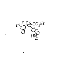 CCOC(=O)C1SC(c2cc(Cl)cc(Cl)c2)(C(F)(F)F)C=C1c1ccc(C(=O)NC2CCC2)c(C)c1